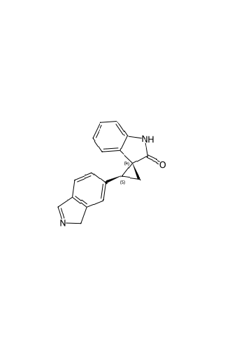 O=C1Nc2ccccc2[C@]12C[C@H]2c1ccc2c(c1)CN=C2